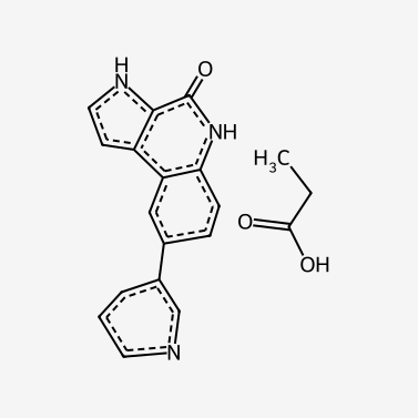 CCC(=O)O.O=c1[nH]c2ccc(-c3cccnc3)cc2c2cc[nH]c12